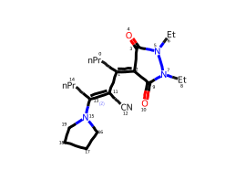 CCCC(=C1C(=O)N(CC)N(CC)C1=O)/C(C#N)=C(\CCC)N1CCCC1